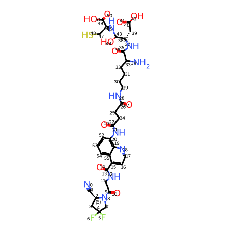 N#C[C@@H]1CC(F)(F)CN1C(=O)CNC(=O)c1ccnc2c(NC(=O)CCC(=O)NCCCCC(N)C(=O)N[C@@H](CC(=O)O)C(O)N[C@@H](CS)C(=O)O)cccc12